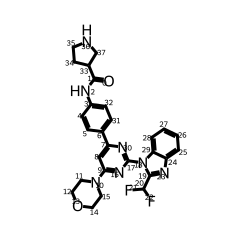 O=C(Nc1ccc(-c2cc(N3CCOCC3)nc(-n3c(C(F)F)nc4ccccc43)n2)cc1)C1CCNC1